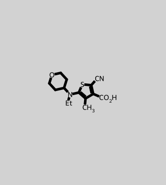 CCN(c1sc(C#N)c(C(=O)O)c1C)C1CCOCC1